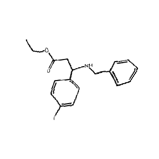 CCOC(=O)CC(NCc1ccccc1)c1ccc(I)cc1